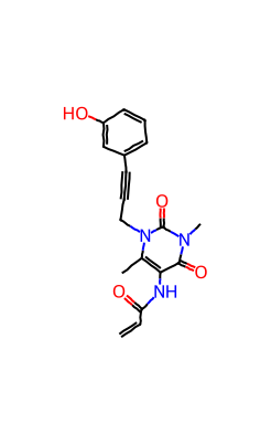 C=CC(=O)Nc1c(C)n(CC#Cc2cccc(O)c2)c(=O)n(C)c1=O